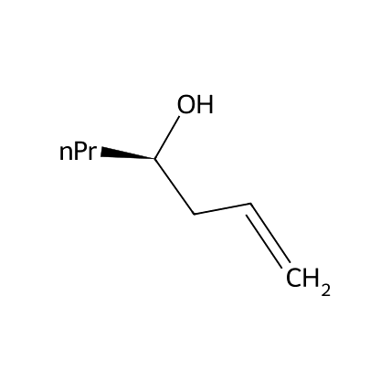 C=CC[C@H](O)CCC